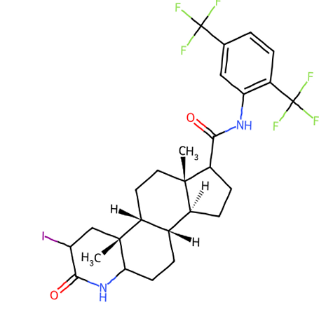 C[C@]12CC(I)C(=O)NC1CC[C@@H]1[C@H]2CC[C@]2(C)C(C(=O)Nc3cc(C(F)(F)F)ccc3C(F)(F)F)CC[C@@H]12